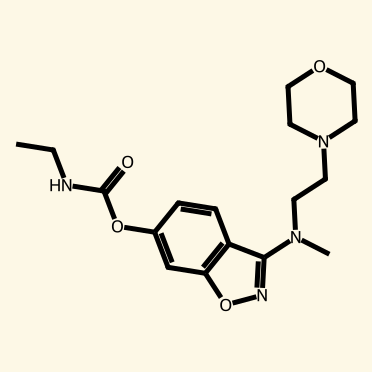 CCNC(=O)Oc1ccc2c(N(C)CCN3CCOCC3)noc2c1